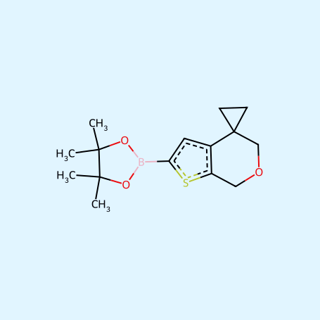 CC1(C)OB(c2cc3c(s2)COCC32CC2)OC1(C)C